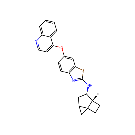 c1ccc2c(Oc3ccc4nc(N[C@@H]5CC6CC67CC[C@@H]57)sc4c3)ccnc2c1